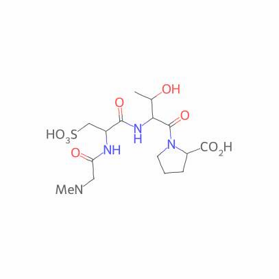 CNCC(=O)NC(CS(=O)(=O)O)C(=O)NC(C(=O)N1CCCC1C(=O)O)C(C)O